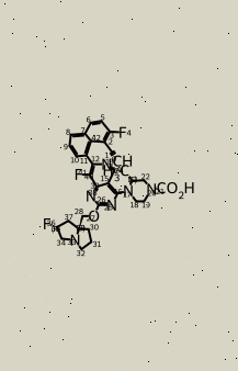 C#Cc1c(F)ccc2cccc(-c3ncc4c(N5CCN(C(=O)O)C[C@@H]5C)nc(OC[C@@]56CCCN5C[C@H](F)C6)nc4c3F)c12